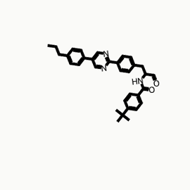 CCCc1ccc(-c2cnc(-c3ccc(CC(C=O)NC(=O)c4ccc(C(C)(C)C)cc4)cc3)nc2)cc1